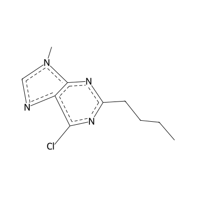 CCCCc1nc(Cl)c2ncn(C)c2n1